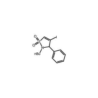 CCCCN1C(c2ccccc2)C(I)=CS1(=O)=O